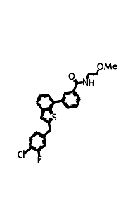 COCCNC(=O)c1cccc(-c2cccc3cc(Cc4ccc(Cl)c(F)c4)sc23)c1